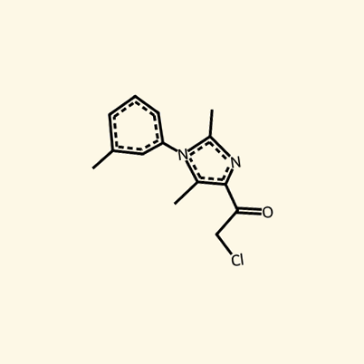 Cc1cccc(-n2c(C)nc(C(=O)CCl)c2C)c1